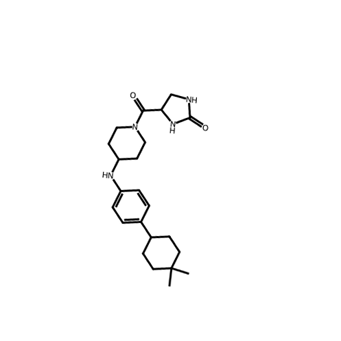 CC1(C)CCC(c2ccc(NC3CCN(C(=O)C4CNC(=O)N4)CC3)cc2)CC1